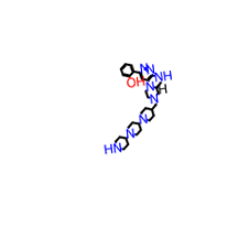 Oc1ccccc1-c1cc2c(nn1)NC[C@H]1CN(CC3CCN(C4CCN(C5CCNCC5)CC4)CC3)CCN21